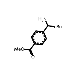 CCCCC(N)c1ccc(C(=O)OC)cc1